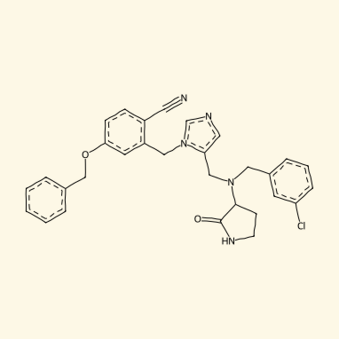 N#Cc1ccc(OCc2ccccc2)cc1Cn1cncc1CN(Cc1cccc(Cl)c1)C1CCNC1=O